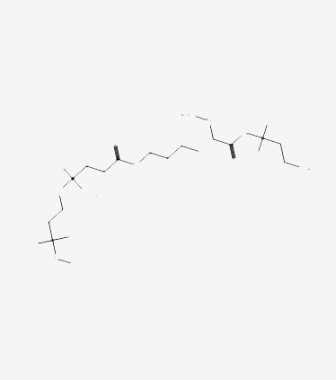 CC(C)(C)CCC(C)(C)NC(=O)[C@H](CCCCNC(=O)CCC(C)(C)OCCC(C)(C)NC=O)NC=O